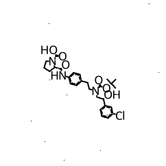 CC(C)(C)OC(=O)N(CCc1ccc(NC(=O)C2CCCN2C(=O)O)cc1)CC(O)c1cccc(Cl)c1